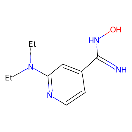 CCN(CC)c1cc(C(=N)NO)ccn1